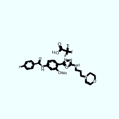 COc1cc(NC(=O)c2ccc(F)cc2)ccc1-c1nnc(NCCCN2CCOCC2)o1.O=C(O)C(F)(F)F